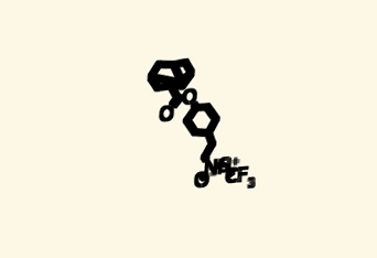 O=C(OC1CCC(CC[NH+]([O-])SC(F)(F)F)CC1)C12CC3CC(CC(C3)C1)C2